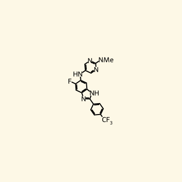 CNc1ncc(Nc2cc3[nH]c(-c4ccc(C(F)(F)F)cc4)nc3cc2F)cn1